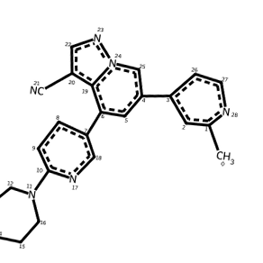 Cc1cc(-c2cc(-c3ccc(N4CCNCC4)nc3)c3c(C#N)cnn3c2)ccn1